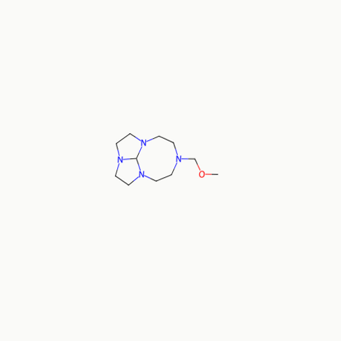 COCN1CCN2CCN3CCN(CC1)C23